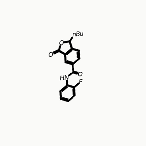 CCCCC1OC(=O)c2cc(C(=O)Nc3ccccc3F)ccc21